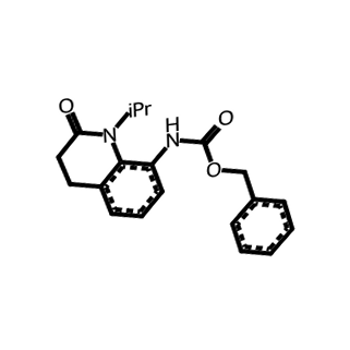 CC(C)N1C(=O)CCc2cccc(NC(=O)OCc3ccccc3)c21